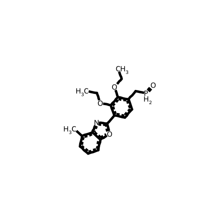 CCOc1c(C[PH2]=O)ccc(-c2nc3c(C)cccc3o2)c1OCC